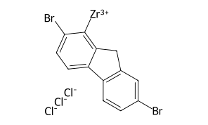 Brc1ccc2c(c1)Cc1c-2ccc(Br)[c]1[Zr+3].[Cl-].[Cl-].[Cl-]